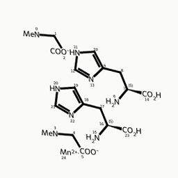 CNCC(=O)[O-].CNCC(=O)[O-].N[C@@H](Cc1c[nH]cn1)C(=O)O.N[C@@H](Cc1c[nH]cn1)C(=O)O.[Mn+2]